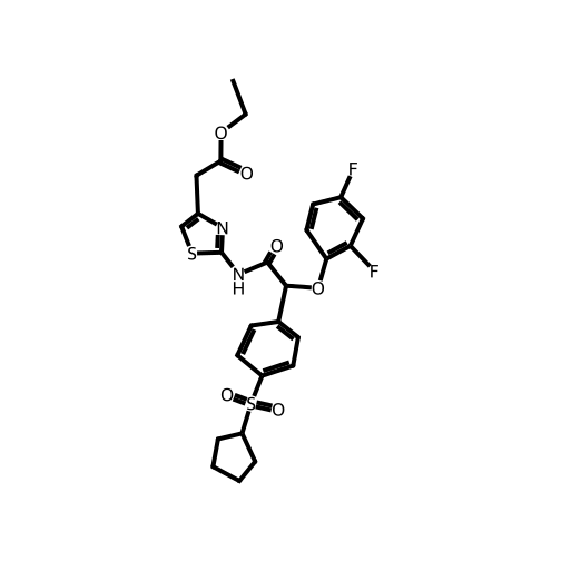 CCOC(=O)Cc1csc(NC(=O)C(Oc2ccc(F)cc2F)c2ccc(S(=O)(=O)C3CCCC3)cc2)n1